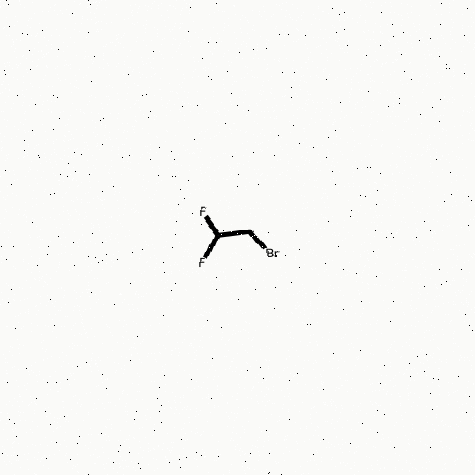 FC(F)[CH]Br